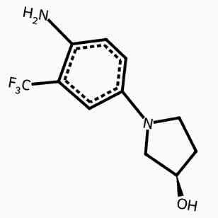 Nc1ccc(N2CC[C@@H](O)C2)cc1C(F)(F)F